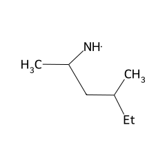 CCC(C)CC(C)[NH]